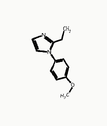 CCc1nccn1-c1ccc(OC)cc1